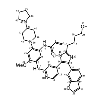 C=CC(=O)Nc1cc(Nc2nccc(-c3[nH]c(CCCCO)nc3-c3ccc4ccoc4c3)n2)c(OC)cc1N1CCC(N2CCCC2)CC1